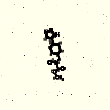 COC(=O)N(Cl)Cc1ccc(-c2cnn[nH]2)cc1